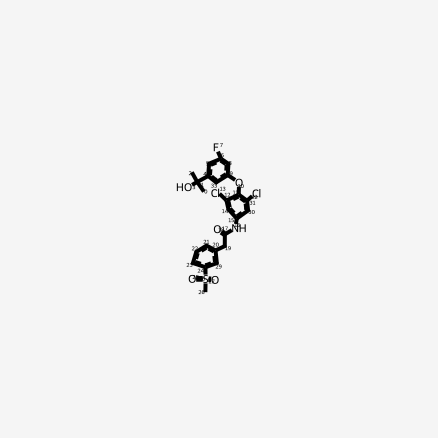 CC(C)(O)c1cc(F)cc(Oc2c(Cl)cc(NC(=O)Cc3cccc(S(C)(=O)=O)c3)cc2Cl)c1